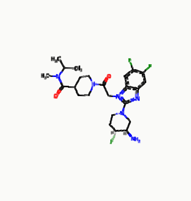 CC(C)N(C)C(=O)C1CCN(C(=O)Cn2c(N3CC[C@@H](F)[C@H](N)C3)nc3cc(F)c(F)cc32)CC1